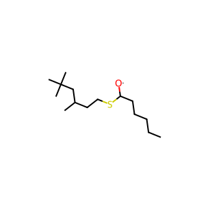 CCCCCC([O])SCCC(C)CC(C)(C)C